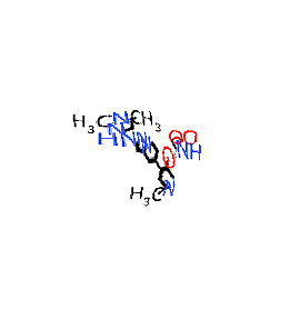 Cc1cc(-c2ccn3nc(Nc4cc(C)nc(C)n4)cc3c2)c(OC[C@@H]2COC(=O)N2)cn1